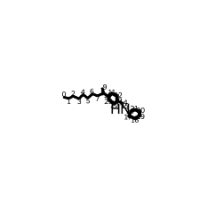 CCCCCCCCC(C)c1ccc(CNc2ccccc2)cc1